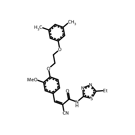 CCc1nnc(NC(=O)/C(C#N)=C\c2ccc(OCCOc3cc(C)cc(C)c3)c(OC)c2)s1